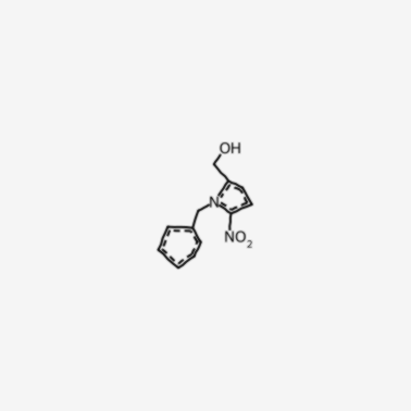 O=[N+]([O-])c1ccc(CO)n1Cc1ccccc1